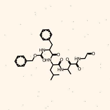 CC(C)CC(NC(=O)C(Cc1ccccc1)NC(=O)OCc1ccccc1)C(=O)NC(C)C(=O)C(=O)NCC=O